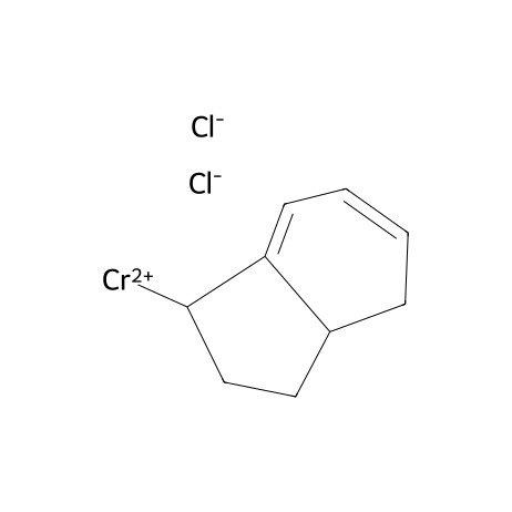 [Cl-].[Cl-].[Cr+2][CH]1CCC2CC=CC=C12